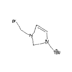 CCCCN1C=CN(CBr)C1